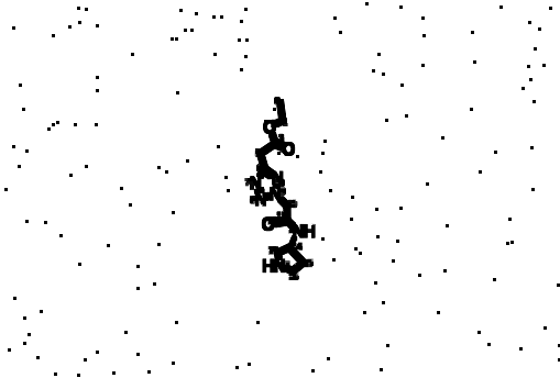 CCOC(=O)Cc1nnn(CC(=O)N[C@H]2CCNC2)n1